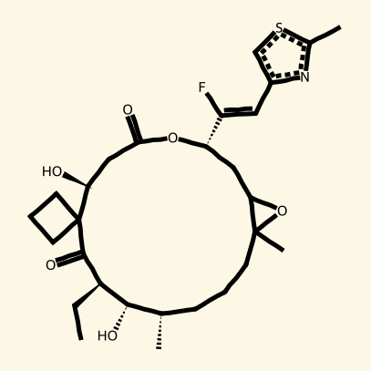 CC[C@H]1C(=O)C2(CCC2)[C@@H](O)CC(=O)O[C@H](C(F)=Cc2csc(C)n2)CC2OC2(C)CCC[C@H](C)[C@@H]1O